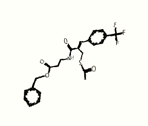 CC(=O)SC/C(=C\c1ccc(C(F)(F)F)cc1)C(=O)NCCC(=O)OCc1ccccc1